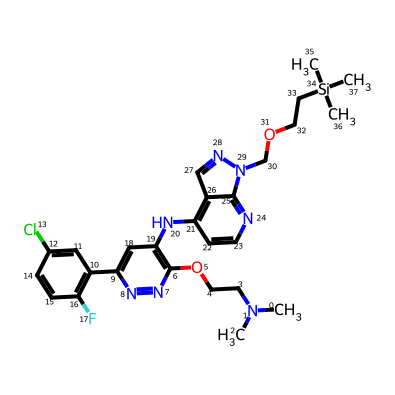 CN(C)CCOc1nnc(-c2cc(Cl)ccc2F)cc1Nc1ccnc2c1cnn2COCC[Si](C)(C)C